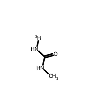 [3H]NC(=O)NC